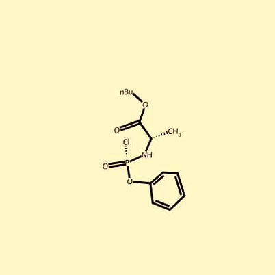 CCCCOC(=O)[C@H](C)N[P@@](=O)(Cl)Oc1ccccc1